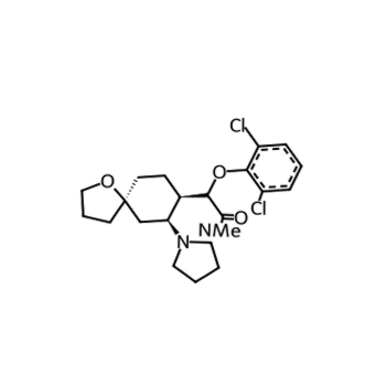 CNC(=O)C(Oc1c(Cl)cccc1Cl)[C@@H]1CC[C@@]2(CCCO2)C[C@@H]1N1CCCC1